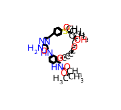 CC1(O)COCCCCOc2c(CNC(=O)OC(C)(C)C)cccc2NC(=O)c2nc(cnc2N)-c2ccc(cc2)[S+]([O-])C(C)(C)C1